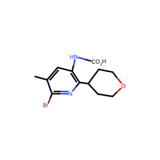 Cc1cc(NC(=O)O)c(C2CCOCC2)nc1Br